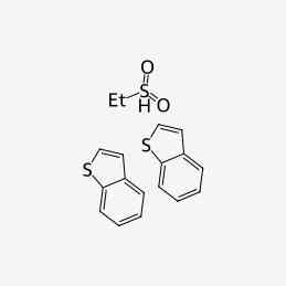 CC[SH](=O)=O.c1ccc2sccc2c1.c1ccc2sccc2c1